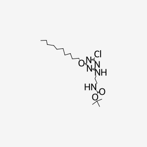 CCCCCCCCCCOc1nc(Cl)nc(NCCNC(=O)OC(C)(C)C)n1